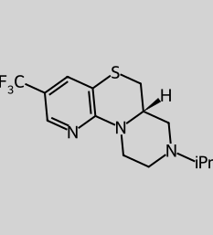 CC(C)N1CCN2c3ncc(C(F)(F)F)cc3SC[C@@H]2C1